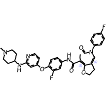 C/C(C(=O)Nc1ccc(Oc2ccnc(NC3CCN(C)CC3)c2)c(F)c1)=C1/OCC/C1=C/N(C=O)c1ccc(F)cc1